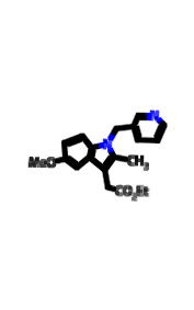 CCOC(=O)Cc1c(C)n(Cc2cccnc2)c2ccc(OC)cc12